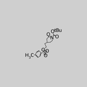 Cc1ccc(S(=O)(=O)OCCC2CCN(C(=O)OC(C)(C)C)C(=O)C2)cc1